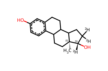 [2H]C1([2H])CC2C3CCc4cc(O)ccc4C3CC[C@]2(C)[C@@]1([2H])O